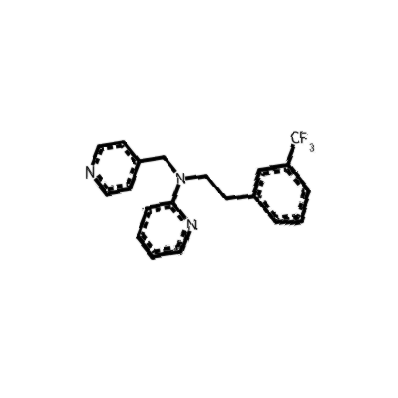 FC(F)(F)c1cccc(CCN(Cc2ccncc2)c2[c]cccn2)c1